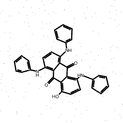 O=C1c2c(O)ccc(Nc3ccccc3)c2C(=O)c2c(Nc3ccccc3)ccc(Nc3ccccc3)c21